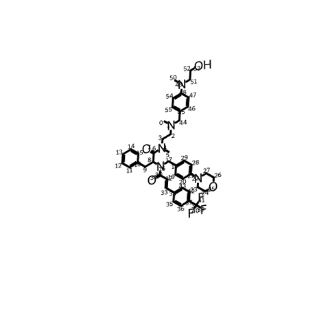 CN(CCN(C)C(=O)C(Cc1ccccc1)N(Cc1ccc(N2CCOCC2)cc1)C(=O)C=Cc1ccc(C(F)(F)F)cc1)Cc1ccc(N(C)CCO)cc1